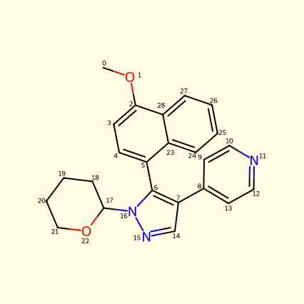 COc1ccc(-c2c(-c3ccncc3)cnn2C2CCCCO2)c2ccccc12